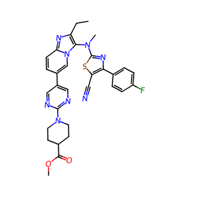 CCc1nc2ccc(-c3cnc(N4CCC(C(=O)OC)CC4)nc3)cn2c1N(C)c1nc(-c2ccc(F)cc2)c(C#N)s1